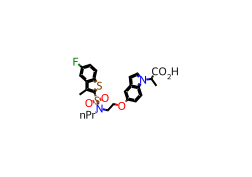 CCCN(CCOc1ccc2c(ccn2C(C)C(=O)O)c1)S(=O)(=O)c1sc2ccc(F)cc2c1C